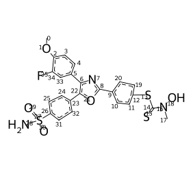 COc1ccc(-c2nc(-c3ccc(SC(=S)N(C)O)cc3)oc2-c2ccc(S(N)(=O)=O)cc2)cc1F